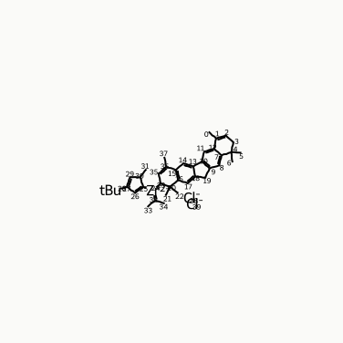 CC1=CCC(C)(C)c2cc3c(cc21)-c1cc2c(cc1C3)C(C)(C)[CH]([Zr+2]([C]1=CC(C(C)(C)C)=CC1C)=[C](C)C)C=C2C.[Cl-].[Cl-]